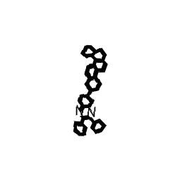 c1ccc(-c2nc3ccc(-c4ccc5c(ccc6c5ccc5ccc7ccccc7c56)c4)cc3nc2-c2ccccc2)cc1